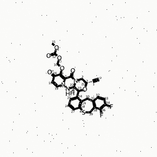 C#C[C@H]1CN2C(=O)c3c(OCOC(=O)OC)c(=O)ccn3N[C@@H]2C(c2cccc3c2Cc2ccc(F)c(F)c2CS3)O1